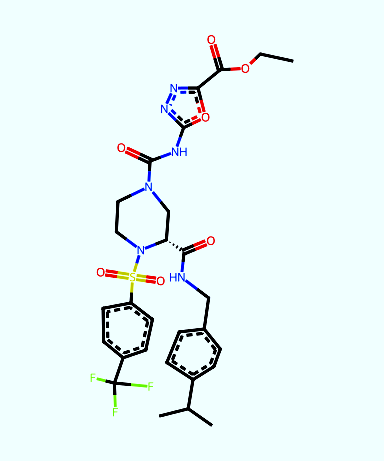 CCOC(=O)c1nnc(NC(=O)N2CCN(S(=O)(=O)c3ccc(C(F)(F)F)cc3)[C@@H](C(=O)NCc3ccc(C(C)C)cc3)C2)o1